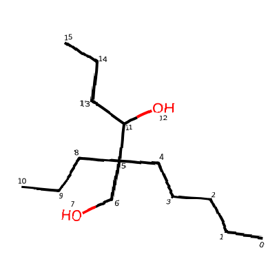 CCCCCC(CO)(CCC)C(O)CCC